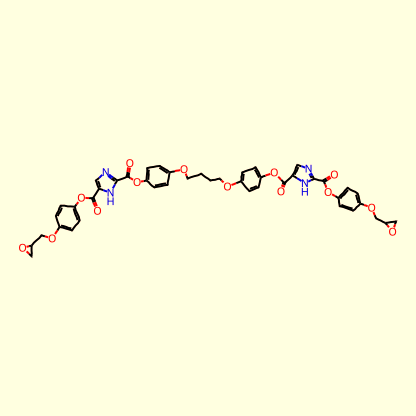 O=C(Oc1ccc(OCC2CO2)cc1)c1cnc(C(=O)Oc2ccc(OCCCCOc3ccc(OC(=O)c4cnc(C(=O)Oc5ccc(OCC6CO6)cc5)[nH]4)cc3)cc2)[nH]1